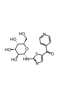 O=C(c1ccncc1)c1cnc(N[C@H]2O[C@H](CO)[C@@H](O)[C@H](O)[C@@H]2O)s1